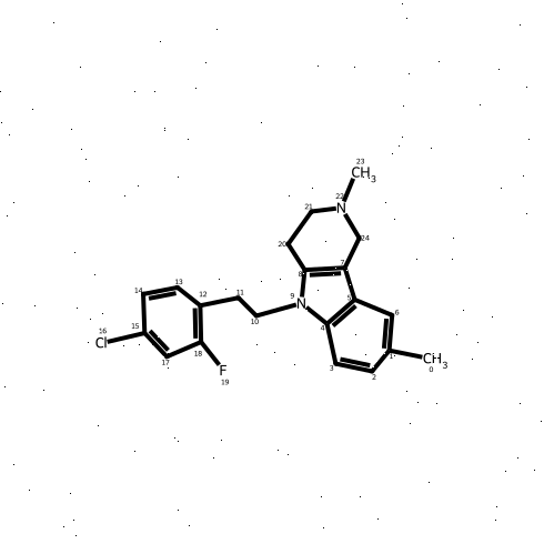 Cc1ccc2c(c1)c1c(n2CCc2ccc(Cl)cc2F)CCN(C)C1